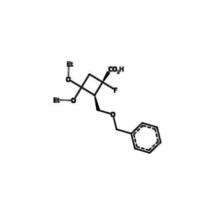 CCOC1(OCC)C[C@@](F)(C(=O)O)[C@H]1COCc1ccccc1